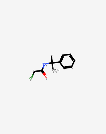 CC(NC(=O)CCl)(C(=O)O)c1ccccc1